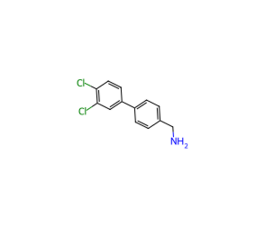 NCc1ccc(-c2ccc(Cl)c(Cl)c2)cc1